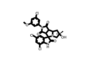 COc1cc(Cl)cc(N2C(=O)C3C4C[C@](C)(O)CN4C4(C(=O)Nc5c(Cl)cc(Cl)cc54)C3C2=O)c1